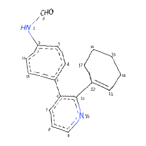 O=CNc1ccc(-c2cccnc2C2=CCCCC2)cc1